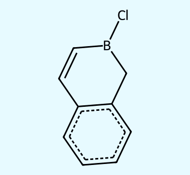 ClB1C=Cc2ccccc2C1